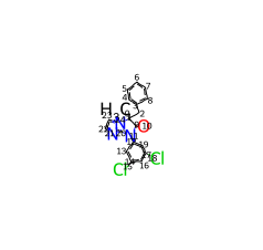 CC1(Cc2ccccc2)C(=O)N(c2cc(Cl)cc(Cl)c2)c2nccn21